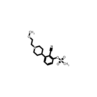 COCCN1CCC(c2cccc(OS(C)(=O)=O)c2C#N)CC1